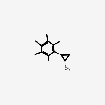 Cc1c(C)c(C)c([C@H]2C[C@@H]2C(F)(F)F)c(C)c1C